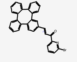 O=C(/C=C/c1ccc2c(c1)-c1ccccc1-c1ccccc1-c1ccccc1-2)c1cccc(Br)n1